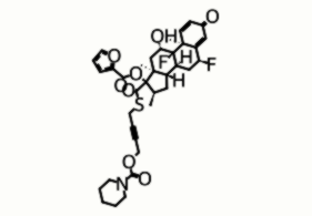 C[C@@H]1C[C@H]2[C@@H]3C[C@H](F)C4=CC(=O)C=C[C@]4(C)[C@@]3(F)[C@@H](O)C[C@]2(C)[C@@]1(OC(=O)c1ccco1)C(=O)SCC#CCOC(=O)N1CCCCC1